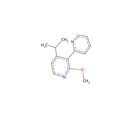 COc1nccc(C(C)C)c1-c1ccccn1